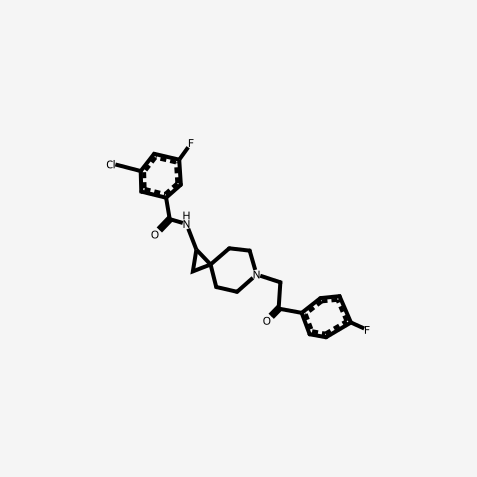 O=C(CN1CCC2(CC1)CC2NC(=O)c1cc(F)cc(Cl)c1)c1ccc(F)cc1